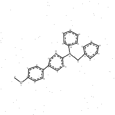 COc1ccc(-c2cnc(N(Cc3ccccc3)c3ccccc3)nc2)cc1